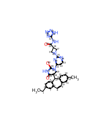 CCc1ccc2c(c1)C=Cc1cc(C)ccc1C2c1cn(-c2ccnc(N3CC(C(=O)Nc4nnn[nH]4)C3)n2)c(=O)[nH]c1=O